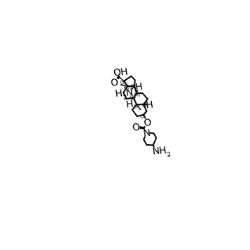 C[C@]12CC[C@H](OC(=O)N3CCC(N)CC3)C[C@H]1CC[C@@H]1[C@@H]2CC[C@]2(C)[C@@H](C(=O)O)CC[C@]12N